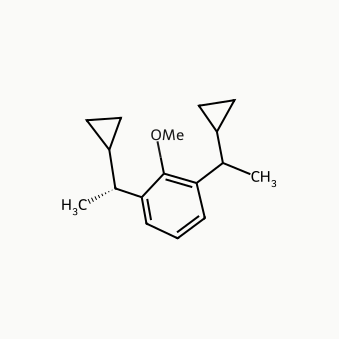 COc1c(C(C)C2CC2)cccc1[C@H](C)C1CC1